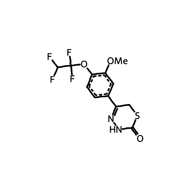 COc1cc(C2=NNC(=O)SC2)ccc1OC(F)(F)C(F)F